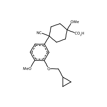 COc1ccc(C2(C#N)CCC(OC)(C(=O)O)CC2)cc1OCC1CC1